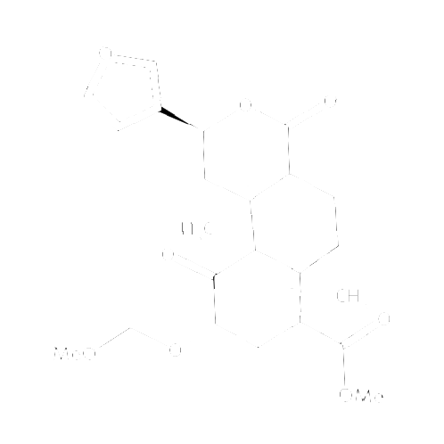 COCO[C@H]1CC(C(=O)OC)[C@]2(C)CCC3C(=O)O[C@H](c4ccoc4)C[C@]3(C)C2C1=O